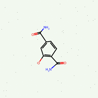 NC(=O)c1ccc(C(N)=O)c([O])c1